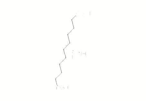 CCCCCCCCCCCCCCCCCC(=O)O.[AlH3].[AlH3]